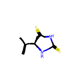 C=C(C)C1NC(=S)NC1=S